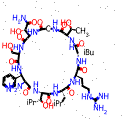 CC[C@H](C)[C@@H]1NC(=O)[C@@H](CCCNC(=N)N)NC(=O)[C@H](CC(C)C)NC(=O)[C@H]([C@H](O)C(C)C)NC(=O)[C@@H](N)[C@@H](c2cccnc2)NC(=O)C(CO)NC(=O)C([C@H](O)C(N)=O)NC(=O)CNC(=O)[C@H]([C@H](C)O)NC1=O